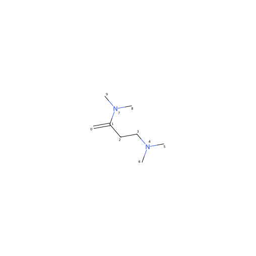 C=C(CCN(C)C)N(C)C